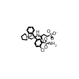 C[N+]1(C[C@](NC(=O)CCS(=O)(=O)[O-])(c2ccccc2)c2ccc(Cl)c(S(N)(=O)=O)c2)CCCC1